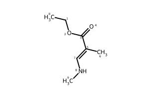 CCOC(=O)C(C)=CNC